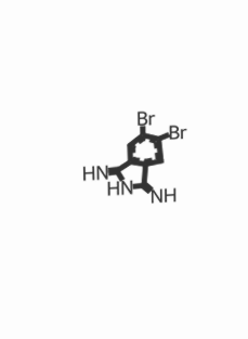 N=C1NC(=N)c2cc(Br)c(Br)cc21